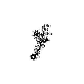 CC(C)(C)OC(=O)N[C@H](C(=O)N1C[C@H]2[C@@H]([C@H]1C(=O)NC(CC1CC1)C(=O)C(=O)NCC(=O)OC(C)(C)c1ccccc1)C2(C)C)C(C)(C)C